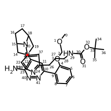 COCOc1ccccc1-c1cc(N2CC3CCC(C2)N3c2ccnc(CCCNC(=O)OC(C)(C)C)c2)c(N)nn1